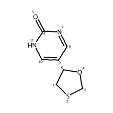 C1CSCO1.O=c1nccc[nH]1